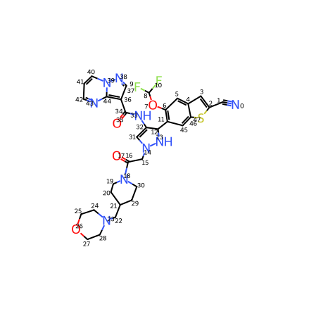 N#Cc1cc2cc(OC(F)F)c(C3NN(CC(=O)N4CCC(CN5CCOCC5)CC4)C=C3NC(=O)c3cnn4cccnc34)cc2s1